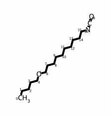 CCCCCOCCCCCCCCCCN=C=O